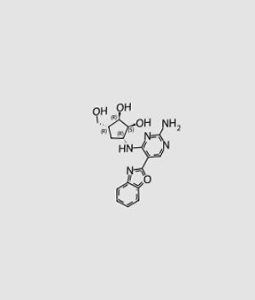 Nc1ncc(-c2nc3ccccc3o2)c(N[C@@H]2C[C@H](CO)[C@@H](O)[C@H]2O)n1